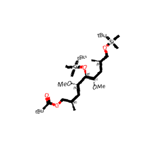 CO[C@@H](C[C@@H](C)COC(=O)C(C)(C)C)[C@@H](O[Si](C)(C)C(C)(C)C)[C@H](C[C@@H](C)CO[Si](C)(C)C(C)(C)C)OC